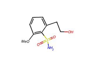 COc1cccc(CCO)c1S(N)(=O)=O